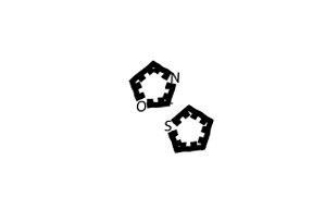 [c]1ncco1.c1ccsc1